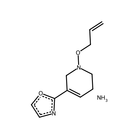 C=CCON1CCC=C(c2ncco2)C1.N